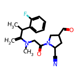 C=C(C(C)c1ccccc1F)N(C)CC(=O)N1CC(C=O)CC1C#N